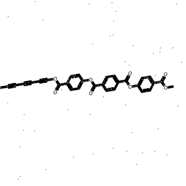 CC#CC#CC#COC(=O)c1ccc(OC(=O)c2ccc(C(=O)Oc3ccc(C(=O)OC)cc3)cc2)cc1